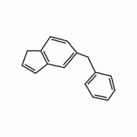 C1=Cc2cc(Cc3ccccc3)ccc2C1